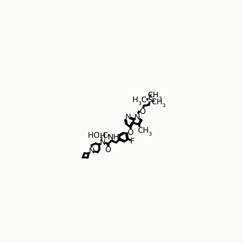 Cc1cn(COCC[Si](C)(C)C)c2nccc(Oc3ccc(CC(NC(=O)O)C(=O)NC4CCN(C5CCC5)CC4)cc3F)c12